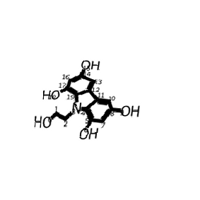 OCCn1c2c(O)cc(O)cc2c2cc(O)cc(O)c21